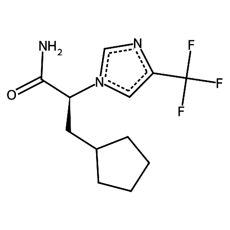 NC(=O)[C@H](CC1CCCC1)n1cnc(C(F)(F)F)c1